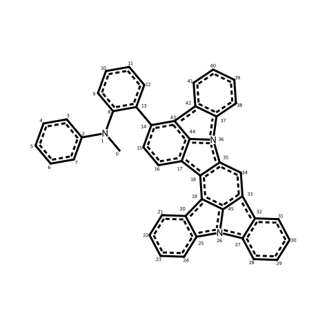 CN(c1ccccc1)c1ccccc1-c1ccc2c3c4c5ccccc5n5c6ccccc6c(cc3n3c6ccccc6c1c23)c45